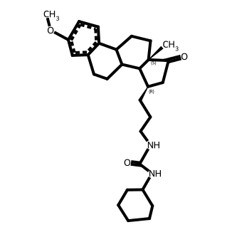 COc1ccc2c(c1)CCC1C2CC[C@]2(C)C(=O)C[C@@H](CCCNC(=O)NC3CCCCC3)C12